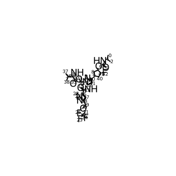 CC(C)NC(=O)O[C@@H]1C[C@H](c2cc(NC(=O)c3cc(COCC(F)(F)F)nn3C)n(COC(=O)[C@@H](N)C(C)C)n2)C[C@@H]1F